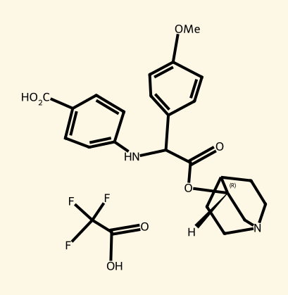 COc1ccc(C(Nc2ccc(C(=O)O)cc2)C(=O)O[C@H]2CN3CCC2CC3)cc1.O=C(O)C(F)(F)F